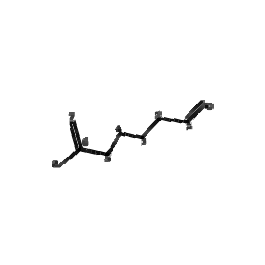 [CH]=CCCCCC(=C)C